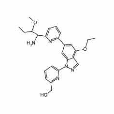 CCOc1cc(-c2cccc(C(N)C(CC)OC)n2)cc2c1cnn2-c1cccc(CO)n1